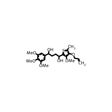 C=CCOc1c(C)sc(C(O)CCC(O)c2cc(OC)c(OC)c(OC)c2)c1OC